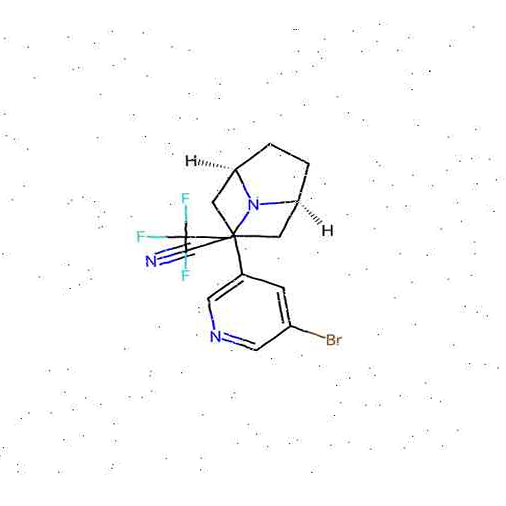 N#CC1(c2cncc(Br)c2)C[C@H]2CC[C@@H](C1)N2CC(F)(F)F